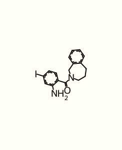 Nc1cc(I)ccc1C(=O)N1CCCc2ccccc2C1